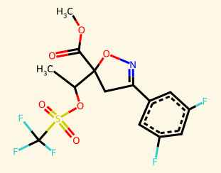 COC(=O)C1(C(C)OS(=O)(=O)C(F)(F)F)CC(c2cc(F)cc(F)c2)=NO1